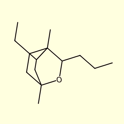 CCCC1OC2(C)CCC1(C)C(CC)C2